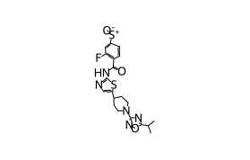 CC(C)c1nc(N2CCC(c3cnc(NC(=O)c4ccc([S+](C)[O-])cc4F)s3)CC2)no1